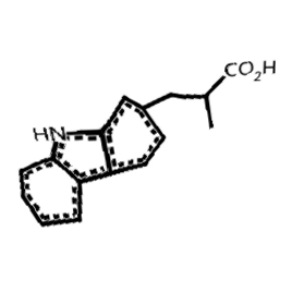 CC(Cc1ccc2c(c1)[nH]c1ccccc12)C(=O)O